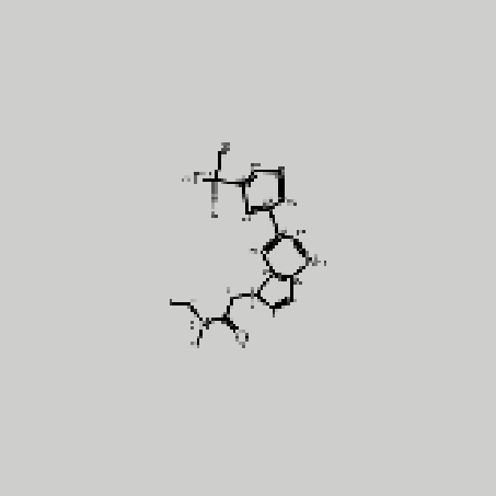 CCN(C)C(=O)Cn1ccc2ncc(-c3cccc(C(F)(F)F)c3)cc21